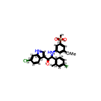 COc1cc(NC(C(=O)c2c[nH]c3cc(Cl)ccc23)c2ccc(F)cc2C)cc(S(C)(=O)=O)c1